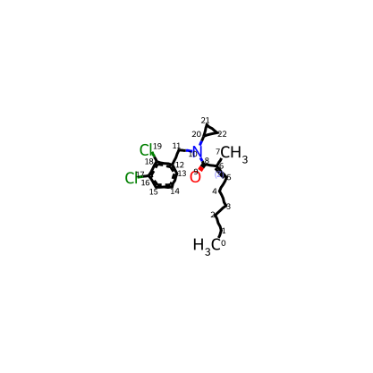 CCCCC/C=C(/C)C(=O)N(Cc1cccc(Cl)c1Cl)C1CC1